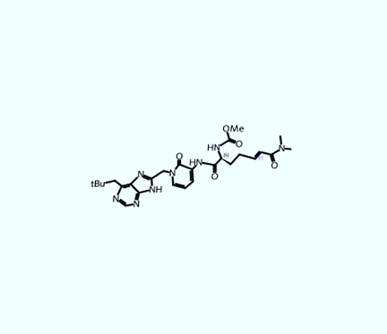 COC(=O)N[C@@H](CC/C=C/C(=O)N(C)C)C(=O)Nc1cccn(Cc2nc3c(CC(C)(C)C)ncnc3[nH]2)c1=O